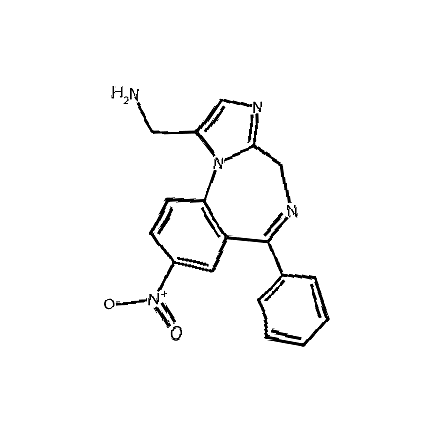 NCc1cnc2n1-c1ccc([N+](=O)[O-])cc1C(c1ccccc1)=NC2